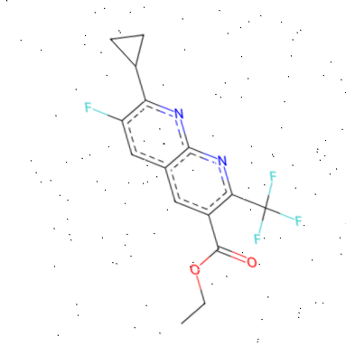 CCOC(=O)c1cc2cc(F)c(C3CC3)nc2nc1C(F)(F)F